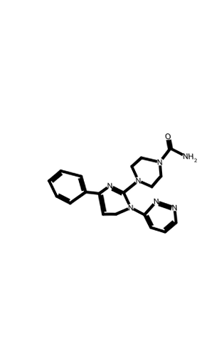 NC(=O)N1CCN(C2=NC(c3ccccc3)=CCN2c2cccnn2)CC1